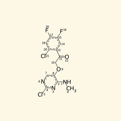 CNc1nc(Cl)ncc1OCC(=O)c1cc(F)c(F)cc1Cl